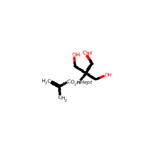 C=C(C)C(=O)O.CCCCCCCC(CO)(CO)CO